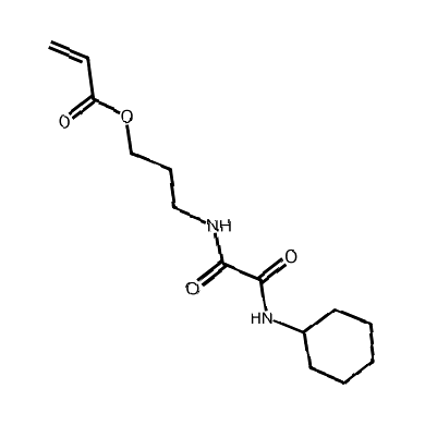 C=CC(=O)OCCCNC(=O)C(=O)NC1CCCCC1